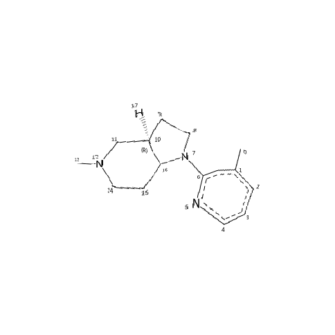 Cc1cccnc1N1CC[C@@H]2CN(C)CCC21